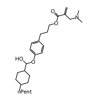 C=C(CN(C)C)C(=O)OCCCc1ccc(OC(O)C2CCC(CCCCC)CC2)cc1